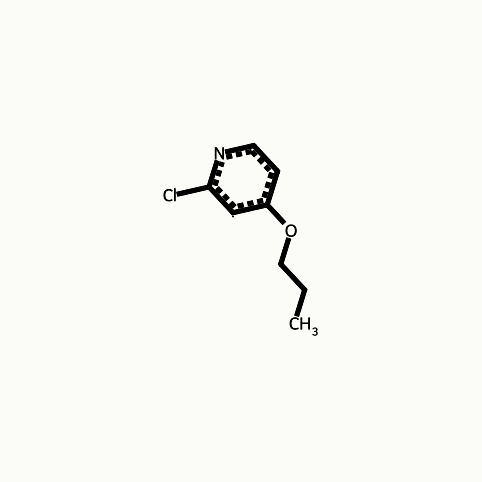 CCCOc1[c]c(Cl)ncc1